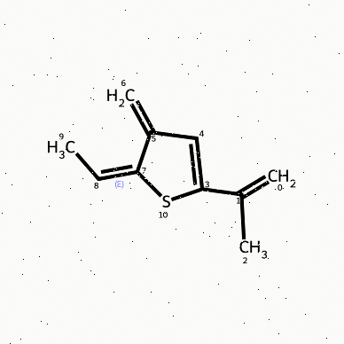 C=C(C)c1cc(=C)/c(=C\C)s1